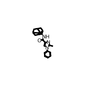 Cc1nc(C(=O)NC2C3CC4CC(C3)CC2C4)cn1-c1ccccc1